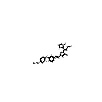 COc1ccc(Oc2cccc(/C=C/C3=NC(=C(/CCN)c4cccn4C)/C(C)=C3)c2)cc1